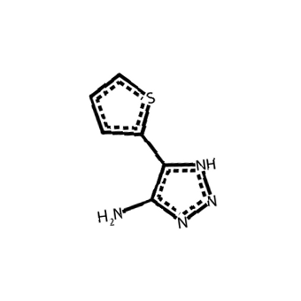 Nc1nn[nH]c1-c1cccs1